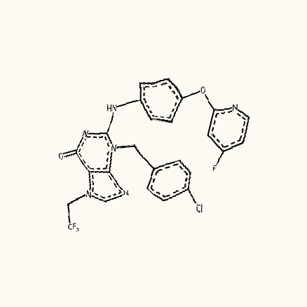 O=c1nc(Nc2ccc(Oc3cc(F)ccn3)cc2)n(Cc2ccc(Cl)cc2)c2ncn(CC(F)(F)F)c12